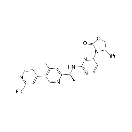 Cc1cc([C@H](C)Nc2nccc(N3C(=O)OCC3C(C)C)n2)ncc1-c1ccnc(C(F)(F)F)c1